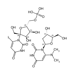 CN(C)c1cc(=O)[nH]c(=O)n1[C@H]1C[C@H](O)[C@@H](CO)O1.O=c1cc(I)n([C@]2(CO)O[C@H](COP(=O)(O)O)[C@@H](O)[C@H]2O)c(=O)[nH]1